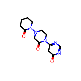 O=C1CC(N2CCN(N3CCCCC3=O)CC2=O)=NC=N1